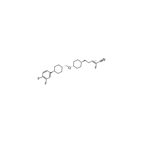 N#C/C(F)=C/CC[C@H]1CC[C@H](OC[C@H]2CC[C@H](c3ccc(F)c(F)c3)CC2)CC1